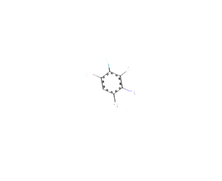 CC(=O)c1c(N)c([N+](=O)[O-])cc(Br)c1F